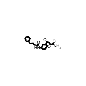 NC(=O)c1cc(=O)c2cc(NC(=O)CCCc3ccccc3)ccc2o1